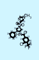 Cn1cnc(S(=O)(=O)N2C[C@H](NC(=O)c3ccc(C(F)(F)F)c(Cl)c3)[C@@H](c3ccccc3)C2)c1